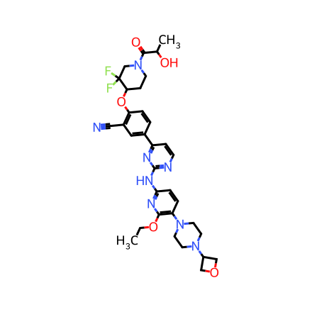 CCOc1nc(Nc2nccc(-c3ccc(OC4CCN(C(=O)C(C)O)CC4(F)F)c(C#N)c3)n2)ccc1N1CCN(C2COC2)CC1